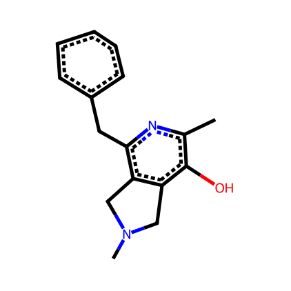 Cc1nc(Cc2ccccc2)c2c(c1O)CN(C)C2